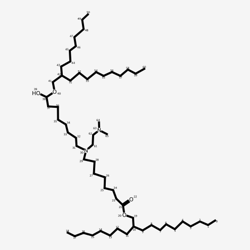 CCCCCCCCCCC(CCCCCCCC)COC(=O)CCCCCCCN(CCCCCCCC(O)OCC(CCCCCCCC)CCCCCCCCCC)CCN(C)C